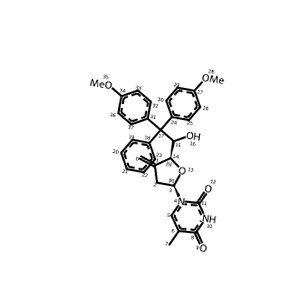 C=C1C[C@H](n2cc(C)c(=O)[nH]c2=O)O[C@@H]1C(O)C(c1ccccc1)(c1ccc(OC)cc1)c1ccc(OC)cc1